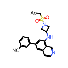 CC(=O)CS(=O)(=O)N1CC(Nc2cc(-c3cccc(C#N)c3)cc3ccncc23)C1